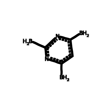 Bc1cc(B)nc(B)n1